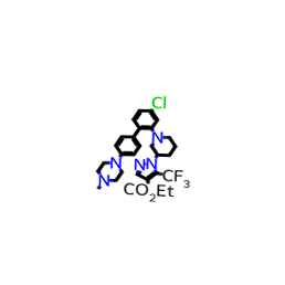 CCOC(=O)c1cnn(C2CCCN(c3cc(Cl)ccc3-c3ccc(N4CCN(C)CC4)cc3)C2)c1C(F)(F)F